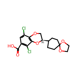 O=C(O)c1cc(Cl)c2c(c1Cl)O[C@H](C1CCC3(CC1)OCCO3)CO2